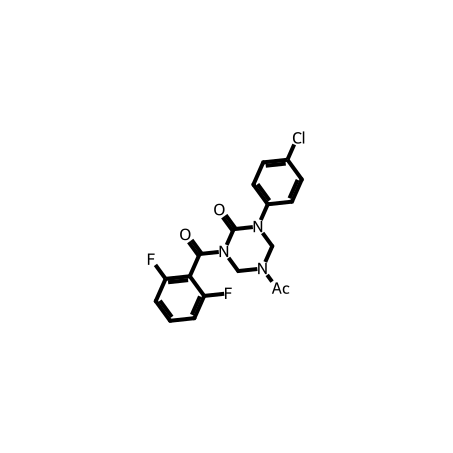 CC(=O)N1CN(C(=O)c2c(F)cccc2F)C(=O)N(c2ccc(Cl)cc2)C1